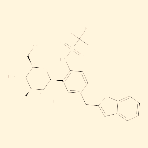 O=S(=O)(Nc1ccc(Cc2cc3ccccc3s2)cc1[C@@H]1O[C@H](CO)[C@@H](O)[C@H](O)[C@H]1O)C(F)(F)F